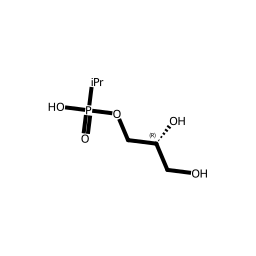 CC(C)P(=O)(O)OC[C@H](O)CO